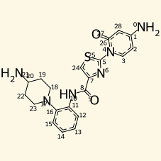 Nc1ccn(-c2nc(C(=O)Nc3ccccc3N3CCC(N)CC3)cs2)c(=O)c1